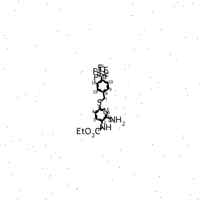 CCOC(=O)Nc1ccc(SCc2ccc(S(F)(F)(F)(F)F)cc2)nc1N